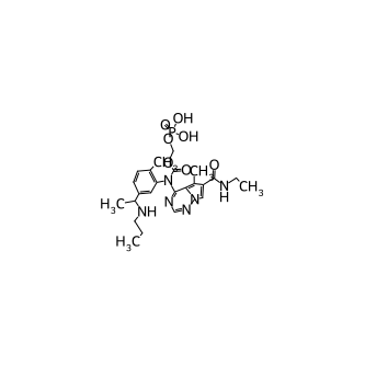 CCCNC(C)c1ccc(C)c(N(C(=O)OCOP(=O)(O)O)c2ncnn3cc(C(=O)NCC)c(C)c23)c1